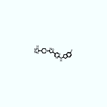 Fc1ccc2c(c1)CC(Nc1ncc(C3CC(N4CCC(c5nnn[nH]5)CC4)=NO3)cn1)C2